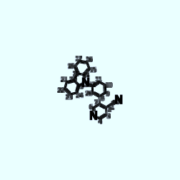 N#Cc1ccncc1-c1cccc(-n2c3ccccc3c3ccccc32)c1